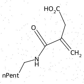 C=C(CC(=O)O)C(=O)NCCCCCC